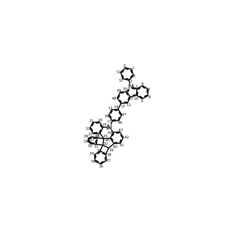 c1ccc(-n2c3ccccc3c3cc(-c4ccc(N5c6ccccc6C67c8ccccc8C68c6ccccc6C8c6cccc5c67)cc4)ccc32)cc1